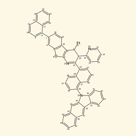 CCC1c2c(oc3cc(-c4cccc5ccccc45)ccc23)N=C(c2cccc3c(-n4c5ccccc5c5cc6ccccc6cc54)cccc23)C1c1ccccn1